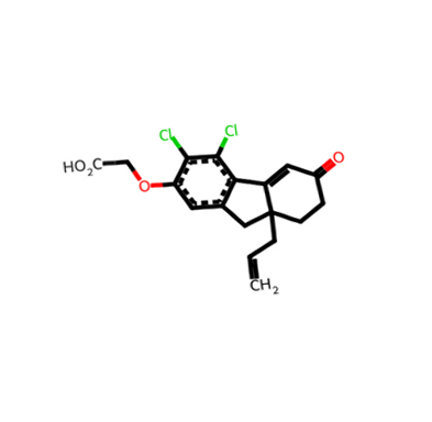 C=CCC12CCC(=O)C=C1c1c(cc(OCC(=O)O)c(Cl)c1Cl)C2